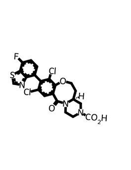 O=C(O)N1CCN2C(=O)c3cc(Cl)c(-c4ccc(F)c5scnc45)c(Cl)c3OCC[C@H]2C1